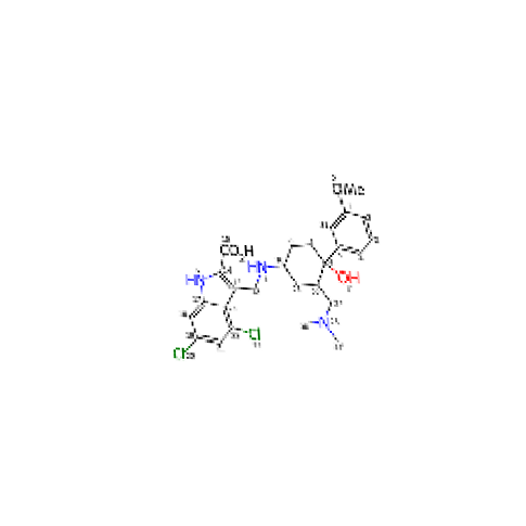 COc1cccc(C2(O)CCC(NCc3c(C(=O)O)[nH]c4cc(Cl)cc(Cl)c34)CC2CN(C)C)c1